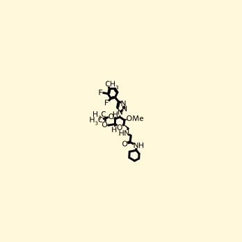 CO[C@@H]1[C@@H](n2cc(-c3ccc(C)c(F)c3F)nn2)[C@H]2OC(C)(C)OC[C@H]2O[C@@H]1CNCC(=O)NC1CCCCC1